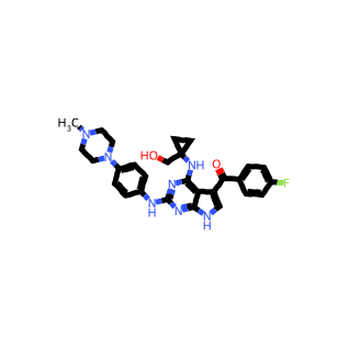 CN1CCN(c2ccc(Nc3nc(NC4(CO)CC4)c4c(C(=O)c5ccc(F)cc5)c[nH]c4n3)cc2)CC1